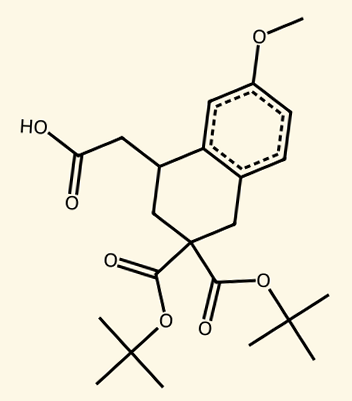 COc1ccc2c(c1)C(CC(=O)O)CC(C(=O)OC(C)(C)C)(C(=O)OC(C)(C)C)C2